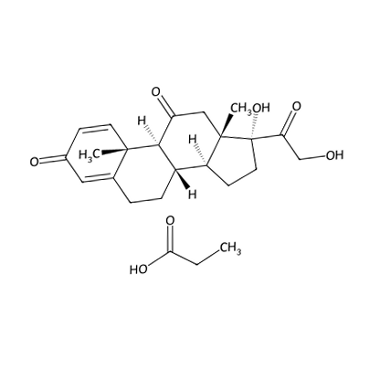 CCC(=O)O.C[C@]12C=CC(=O)C=C1CC[C@@H]1[C@@H]2C(=O)C[C@@]2(C)[C@H]1CC[C@]2(O)C(=O)CO